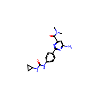 CN(C)C(=O)c1cc(N)nc(-c2ccc(NC(=O)NC3CC3)cc2)n1